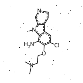 CN(C)CCOc1c(Cl)cc2c3ccncc3n(C)c2c1N